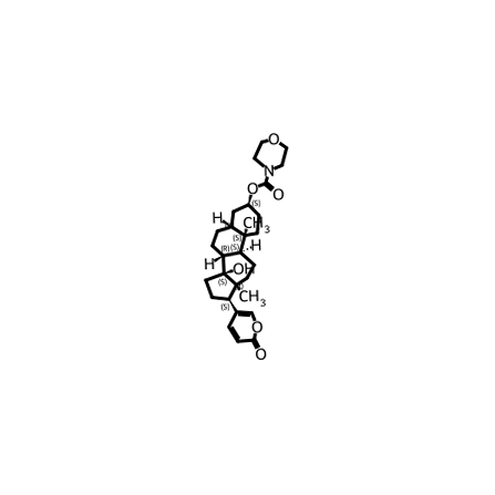 C[C@]12CC[C@H](OC(=O)N3CCOCC3)C[C@H]1CC[C@@H]1[C@@H]2CC[C@]2(C)[C@@H](c3ccc(=O)oc3)CC[C@]12O